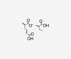 C=C(CC)C(=O)O.C=C(CC=CC(=O)O)C(=O)OC